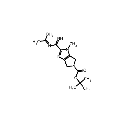 B/C(C)=N\C(=N)c1nc2c(n1C)CN(C(=O)OC(C)(C)C)C2